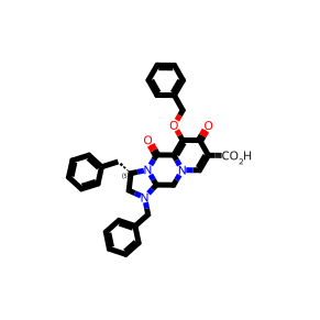 O=C(O)c1cn2c(c(OCc3ccccc3)c1=O)C(=O)N1C(C2)N(Cc2ccccc2)C[C@@H]1Cc1ccccc1